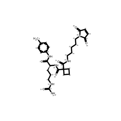 Cc1ccc(NC(=O)[C@H](CCCNC(N)=O)NC(=O)C2(C(=O)NCCCCCN3C(=O)C=CC3=O)CCC2)cc1